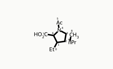 CCC1CCN(C(C)=O)C1C(=O)O.CCCC